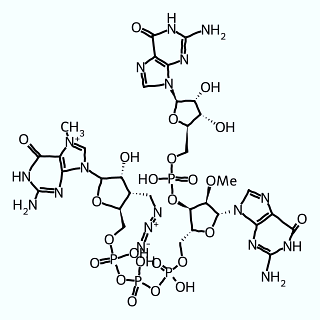 CO[C@@H]1[C@H](OP(=O)(O)OC[C@H]2O[C@@H](n3cnc4c(=O)[nH]c(N)nc43)[C@H](O)[C@@H]2O)[C@@H](COP(=O)(O)OP(=O)(O)OP(=O)(O)OC[C@H]2OC(n3c[n+](C)c4c(=O)[nH]c(N)nc43)[C@H](O)[C@@H]2CN=[N+]=[N-])O[C@H]1n1cnc2c(=O)[nH]c(N)nc21